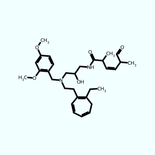 CCC1=C(CCN(Cc2ccc(OC)cc2OC)CC(O)CNC(=O)C(C)/C=C\C(C)C=O)C=CC=CC1